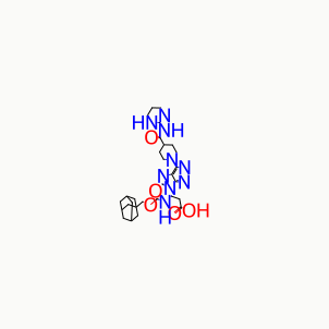 O=C(O)CC(NC(=O)OCC12CC3CC(CC(C3)C1)C2)n1cnc2c(N3CCC(C(=O)NC4=NCCCN4)CC3)ncnc21